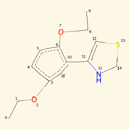 CCOc1ccc(OCC)c(C2=CSCN2)c1